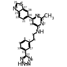 Cc1nc(NCCc2cccc(-c3nn[nH]n3)c2)cc(-c2ccc3ncsc3c2)n1